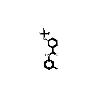 Cc1cccc(NC(=O)C2=CC=C[C@H](OC(F)(F)F)C2)c1